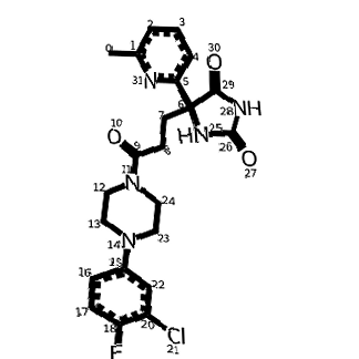 Cc1cccc(C2(CCC(=O)N3CCN(c4ccc(F)c(Cl)c4)CC3)NC(=O)NC2=O)n1